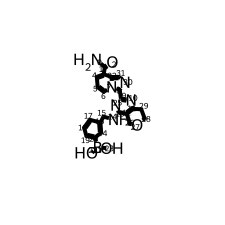 NC(=O)c1cccn2c(-c3nc4c(c(NCc5cccc(B(O)O)c5)n3)COCC4)ncc12